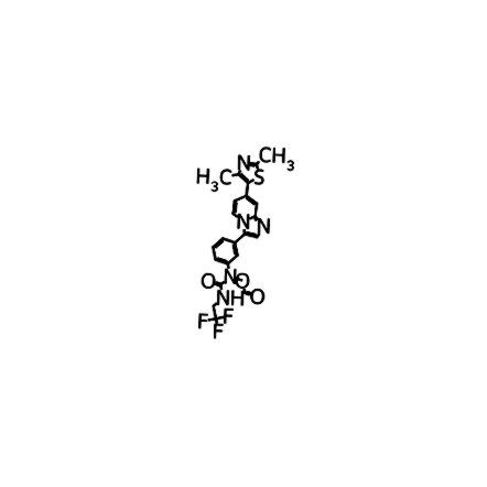 Cc1nc(C)c(-c2ccn3c(-c4cccc(N(OC=O)C(=O)NCC(F)(F)F)c4)cnc3c2)s1